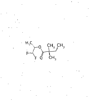 CCC(C)(C)C(=O)OC(C)C(F)F